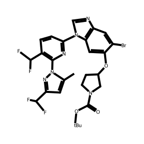 Cc1cc(C(F)F)nn1-c1nc(-n2cnc3cc(Br)c(OC4CCN(C(=O)OC(C)(C)C)C4)cc32)ccc1C(F)F